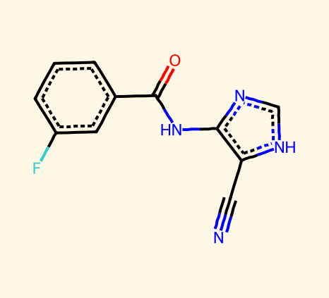 N#Cc1[nH]cnc1NC(=O)c1cccc(F)c1